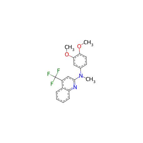 COc1ccc(N(C)c2cc(C(F)(F)F)c3ccccc3n2)cc1OC